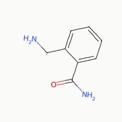 N[CH]c1ccccc1C(N)=O